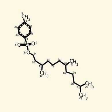 Cc1ccc(S(=O)(=O)OCCC(C)CCCC(C)CCCC(C)C)cc1